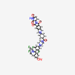 C[C@@H]1Cc2cc(O)ccc2[C@@H](c2c(F)cc(N3CCN(C(=O)C4CCC(N5Cc6cc7c(cc6C5)C(=O)N(C5CCC(=O)NC5=O)C7=O)CC4)CC3)cc2F)N1CC(F)F